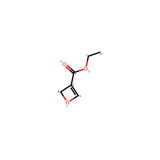 CCOC(=O)C1=COC1